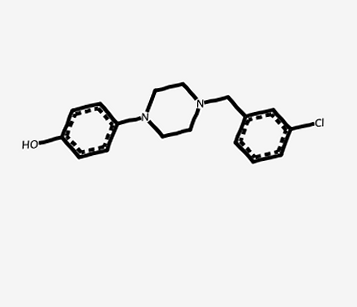 Oc1ccc(N2CCN(Cc3cccc(Cl)c3)CC2)cc1